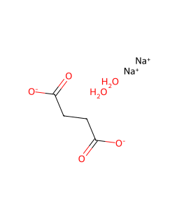 O.O.O=C([O-])CCC(=O)[O-].[Na+].[Na+]